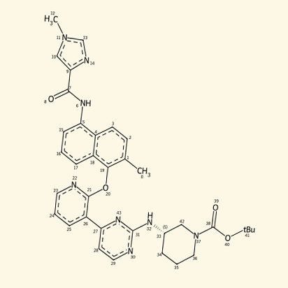 Cc1ccc2c(NC(=O)c3cn(C)cn3)cccc2c1Oc1ncccc1-c1ccnc(N[C@H]2CCCN(C(=O)OC(C)(C)C)C2)n1